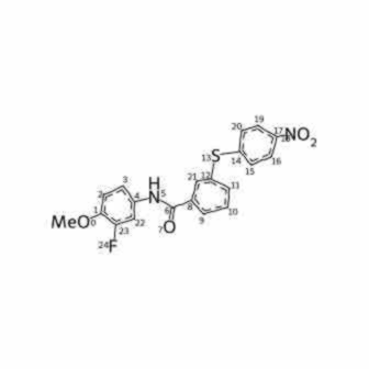 COc1ccc(NC(=O)c2cccc(Sc3ccc([N+](=O)[O-])cc3)c2)cc1F